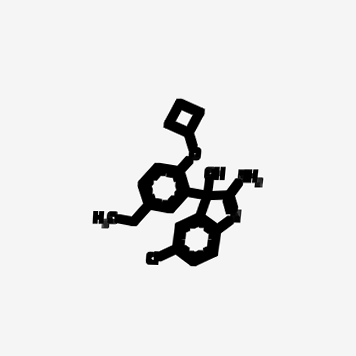 CCc1ccc(OC2CCC2)c(C2(O)C(N)=Nc3ccc(Cl)cc32)c1